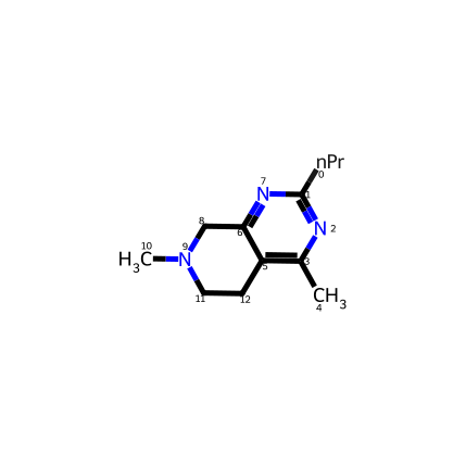 CCCc1nc(C)c2c(n1)CN(C)CC2